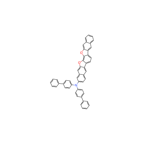 c1ccc(-c2ccc(N(c3ccc(-c4ccccc4)cc3)c3ccc4cc5c(cc4c3)oc3c5ccc4c5cc6ccccc6cc5oc43)cc2)cc1